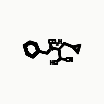 N#CC(O)[C@H](CC1CC1)N(Cc1ccccc1)C(=O)O